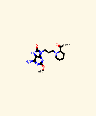 CCCCOc1nc(N)c2[nH]c(=O)n(CCCN3CCCCC3C(=O)OC)c2n1